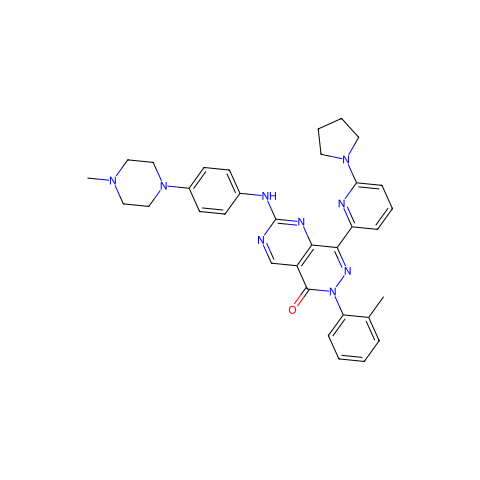 Cc1ccccc1-n1nc(-c2cccc(N3CCCC3)n2)c2nc(Nc3ccc(N4CCN(C)CC4)cc3)ncc2c1=O